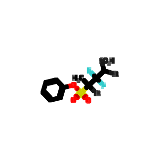 CCC(C(F)(F)C(C)(CC)S(=O)(=O)Oc1ccccc1)S(=O)(=O)O